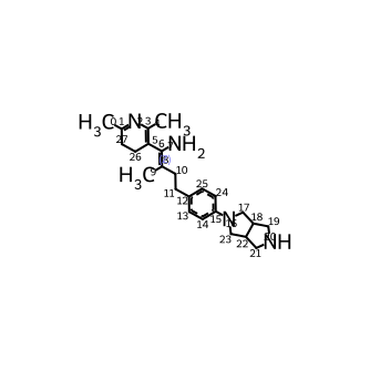 CC1=NC(C)=C(/C(N)=C(\C)CCc2ccc(N3CC4CNCC4C3)cc2)CC1